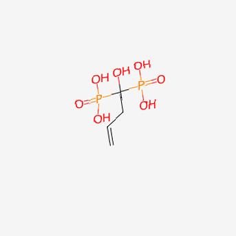 C=CCC(O)(P(=O)(O)O)P(=O)(O)O